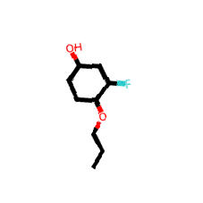 CCCOC1CCC(O)CC1F